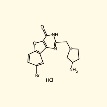 Cl.NC1CCN(Cc2nc3c(oc4ccc(Br)cc43)c(=O)[nH]2)C1